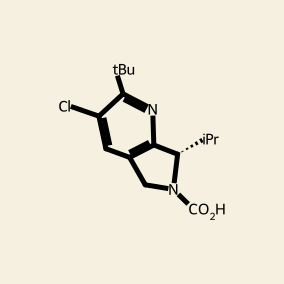 CC(C)[C@H]1c2nc(C(C)(C)C)c(Cl)cc2CN1C(=O)O